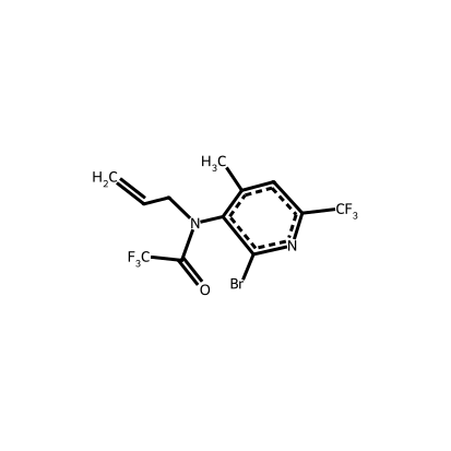 C=CCN(C(=O)C(F)(F)F)c1c(C)cc(C(F)(F)F)nc1Br